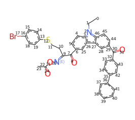 CCn1c2ccc(C(=O)/C(CCSc3ccc(Br)cc3)=N/OC(C)=O)cc2c2cc(C(=O)c3ccc(-c4ccccc4)cc3)ccc21